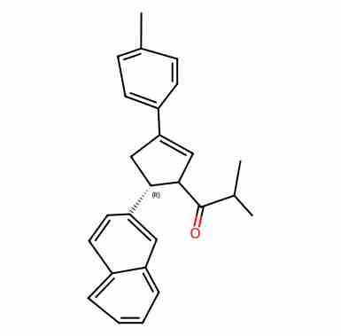 Cc1ccc(C2=CC(C(=O)C(C)C)[C@H](c3ccc4ccccc4c3)C2)cc1